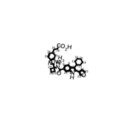 Cn1c(C2(NC(=O)c3ccc4c(C5CCCCC5)c(-c5ccoc5)[nH]c4c3)CCC2)nc2c1CC(CCC(=O)O)C=C2